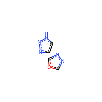 c1c[nH]nn1.c1nnco1